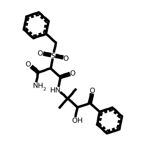 CC(C)(NC(=O)C(C(N)=O)S(=O)(=O)Cc1ccccc1)C(O)C(=O)c1ccccc1